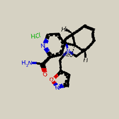 CO[C@@]1(c2ccnc(C(N)=O)c2)[C@@H]2CCC[C@H]1CN(Cc1ccno1)C2.Cl